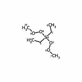 CC[Si](CC)(OOC)OOC